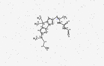 C/C(=C/c1cc2c(s1)-c1sc(N(C)CCO)cc1C2(C)C)NC(=S)NC=O